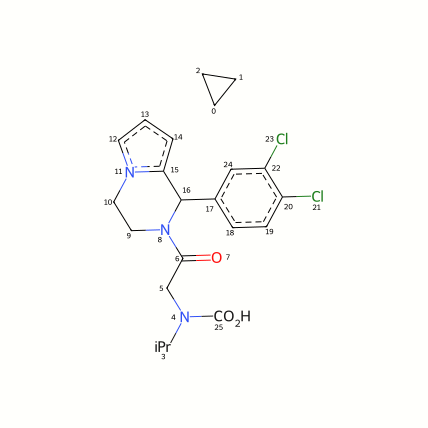 C1CC1.CC(C)N(CC(=O)N1CCn2cccc2C1c1ccc(Cl)c(Cl)c1)C(=O)O